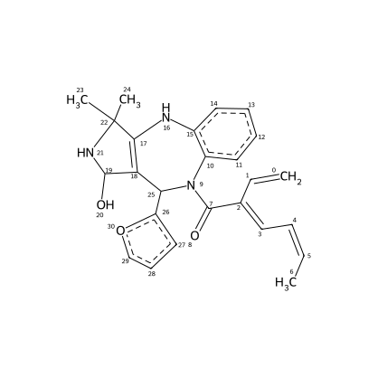 C=C/C(=C\C=C/C)C(=O)N1c2ccccc2NC2=C(C(O)NC2(C)C)C1c1ccco1